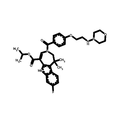 CC(C)OC(=O)C1=CN(C(=O)c2ccc(OCCNN3CCOCC3)cc2)CC(C)(C)c2c1[nH]c1cc(F)ccc21